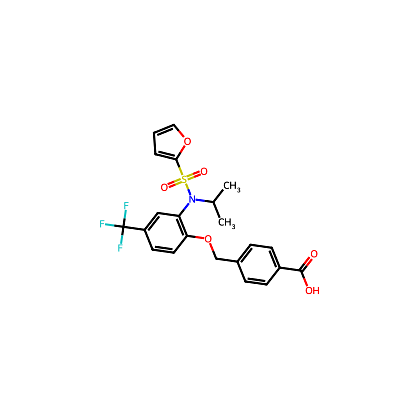 CC(C)N(c1cc(C(F)(F)F)ccc1OCc1ccc(C(=O)O)cc1)S(=O)(=O)c1ccco1